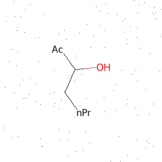 CCCCC(O)C(C)=O